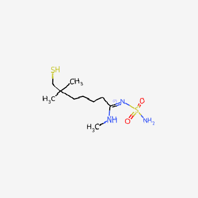 CN/C(CCCCC(C)(C)CS)=N\S(N)(=O)=O